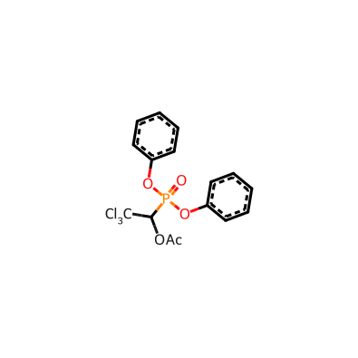 CC(=O)OC(C(Cl)(Cl)Cl)P(=O)(Oc1ccccc1)Oc1ccccc1